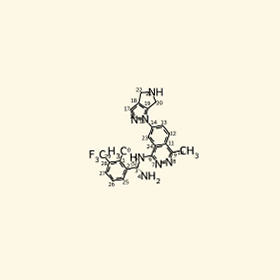 Cc1c([C@@H](N)Nc2nnc(C)c3ccc(-n4ncc5c4CNC5)cc23)cccc1C(F)(F)F